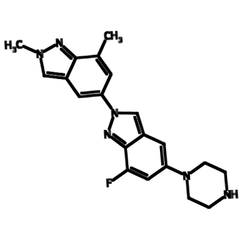 Cc1cc(-n2cc3cc(N4CCNCC4)cc(F)c3n2)cc2cn(C)nc12